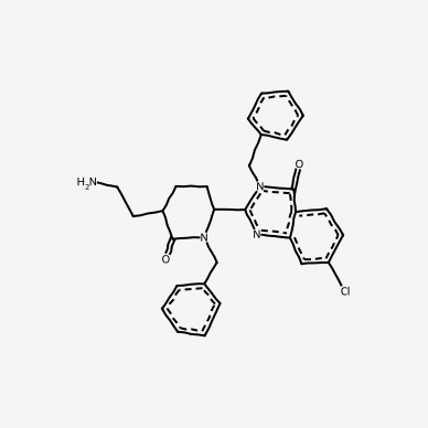 NCCC1CCC(c2nc3cc(Cl)ccc3c(=O)n2Cc2ccccc2)N(Cc2ccccc2)C1=O